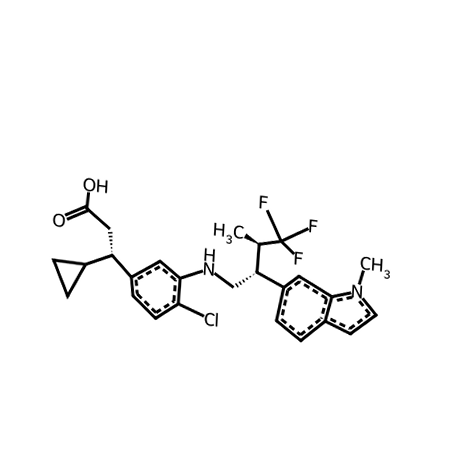 C[C@H]([C@@H](CNc1cc([C@@H](CC(=O)O)C2CC2)ccc1Cl)c1ccc2ccn(C)c2c1)C(F)(F)F